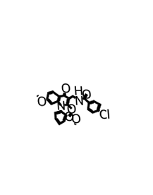 COC(=O)Oc1c(CNC(=O)c2ccc(Cl)cc2)c(=O)c2ccc(OC)cc2n1-c1ccccc1